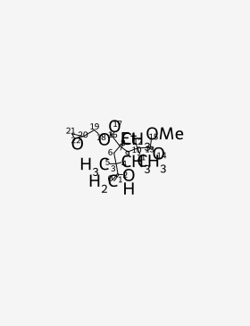 C=C(O)C(C)(C)CC(C)(CC(C)(CC)C(=O)OC)C(=O)OCC1CO1